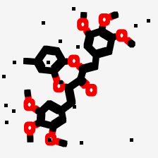 COc1cc(/C=C2\Oc3ccc(C)cc3O/C(=C\c3cc(OC)c(OC)c(OC)c3)C2=O)cc(OC)c1OC